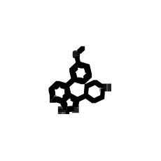 COc1cccc(-c2ccnc3[nH]nc(C4CCNCC4)c23)c1